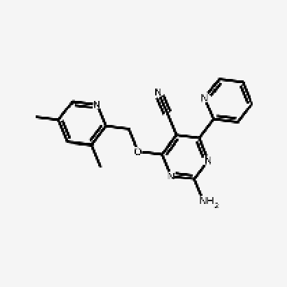 Cc1cnc(COc2nc(N)nc(-c3ccccn3)c2C#N)c(C)c1